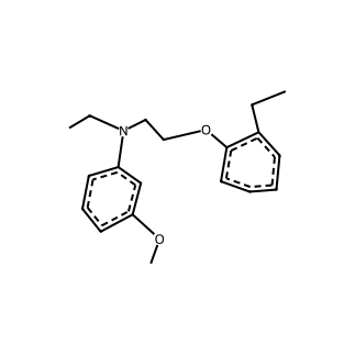 CCc1ccccc1OCCN(CC)c1cccc(OC)c1